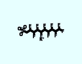 O=S(=O)([O-])CC(F)C(F)C(F)C(F)C(F)C(F)C(F)C(F)C(F)F.[K+]